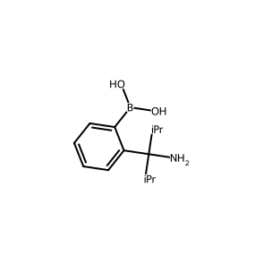 CC(C)C(N)(c1ccccc1B(O)O)C(C)C